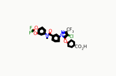 CN(C(=O)c1cccc(-n2nc(C(F)(F)F)c(Cl)c2OC2CCC(C(=O)O)CC2)c1)c1ccc2c(c1)OC(F)(F)O2